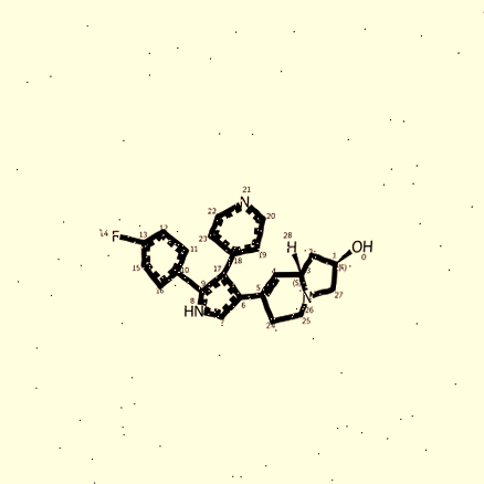 O[C@@H]1C[C@H]2C=C(c3c[nH]c(-c4ccc(F)cc4)c3-c3ccncc3)CCN2C1